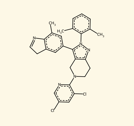 Cc1cc(-c2c3c(nn2-c2c(C)cccc2C)CCN(c2ncc(Cl)cc2Cl)C3)cc2c1N=CC2